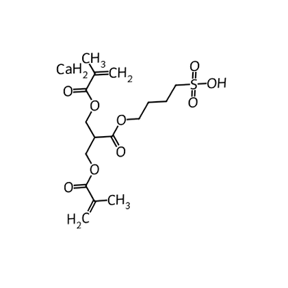 C=C(C)C(=O)OCC(COC(=O)C(=C)C)C(=O)OCCCCS(=O)(=O)O.[CaH2]